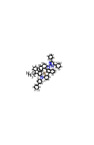 CC1(C)c2ccccc2-c2ccc(N(c3ccc(-c4ccccc4)cc3)c3cccc4c3sc3c4c4ccccc4c4c3c3c5ccccc5ccc3n4-c3nc(-c4ccccc4)cc(-c4ccccc4)n3)cc21